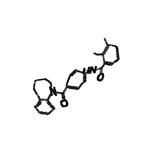 Cc1cccc(C(=O)Nc2ccc(C(=O)N3CCCCc4ccccc43)cc2)c1C